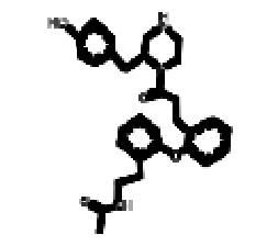 CC(=O)NCCc1ccccc1Oc1ccccc1CCC(=O)N1CCNCC1Cc1ccc(O)cc1